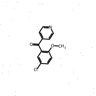 COc1ccc(Cl)cc1C(=O)c1ccncc1